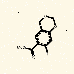 COC(=O)c1cc2c(cc1F)OCOC2